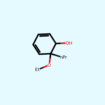 CCCC1(OCC)C=CC=CC1O